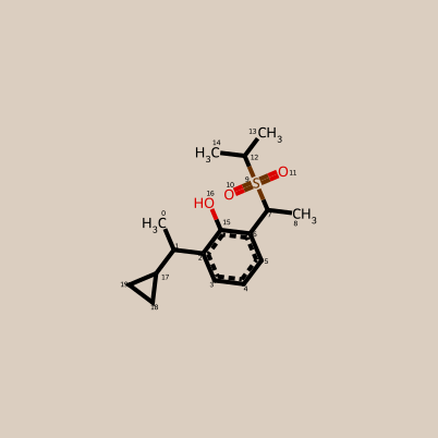 CC(c1cccc(C(C)S(=O)(=O)C(C)C)c1O)C1CC1